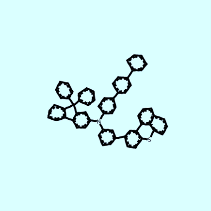 c1ccc(-c2ccc(-c3ccc(N(c4cccc(-c5ccc6c(c5)-c5cccc7cccc(c57)S6)c4)c4ccc5c(c4)C(c4ccccc4)(c4ccccc4)c4ccccc4-5)cc3)cc2)cc1